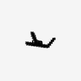 CCCCCCCC/C=C\CCCCCCC(CC(CCCCCCCC)CCCCCCCCCC)C(=O)O